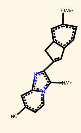 CNc1c(C2=Cc3ccc(OC)cc3C2)nc2cc(C#N)ccn12